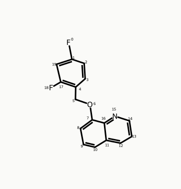 Fc1ccc(COc2cccc3cccnc23)c(F)c1